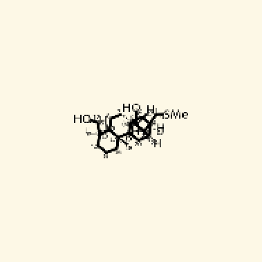 CSC[C@H]1[C@H]2CC[C@@]3(CC[C@@H]4[C@](C)(CO)CCC[C@@]4(C)[C@@H]3C2)[C@@H]1O